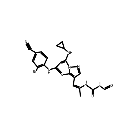 C/C(=C/c1cnn2c(NC3CC3)cc(Nc3ccc(C#N)cc3Br)nc12)NC(=O)NC=O